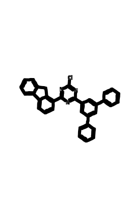 Clc1nc(-c2cc(-c3ccccc3)cc(-c3ccccc3)c2)nc(-c2cccc3c2Cc2ccccc2-3)n1